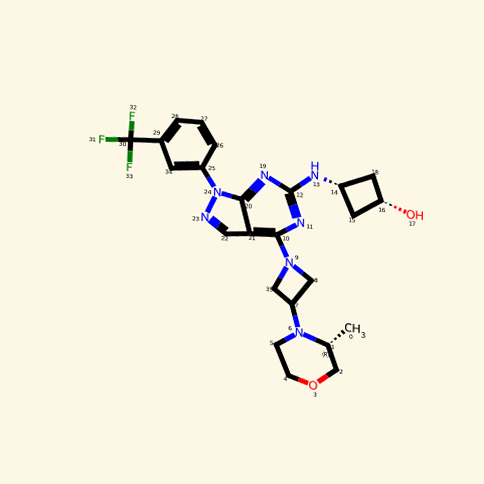 C[C@@H]1COCCN1C1CN(c2nc(N[C@H]3C[C@@H](O)C3)nc3c2cnn3-c2cccc(C(F)(F)F)c2)C1